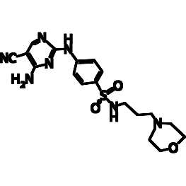 N#Cc1cnc(Nc2ccc(S(=O)(=O)NCCCN3CCOCC3)cc2)nc1N